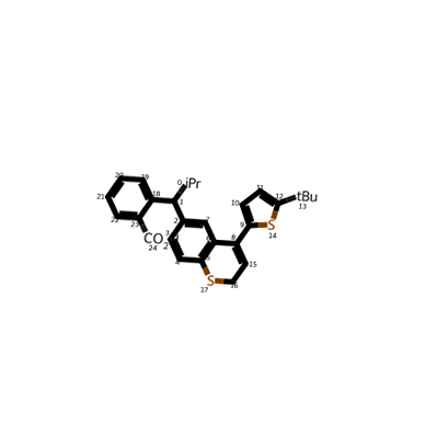 CC(C)C(c1ccc2c(c1)C(c1ccc(C(C)(C)C)s1)=CCS2)c1ccccc1C(=O)O